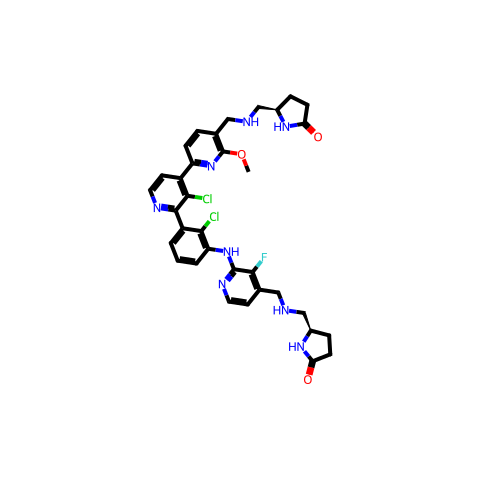 COc1nc(-c2ccnc(-c3cccc(Nc4nccc(CNC[C@H]5CCC(=O)N5)c4F)c3Cl)c2Cl)ccc1CNC[C@H]1CCC(=O)N1